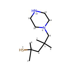 CC(C)(S)CC(C)(C)CN1CCNCC1